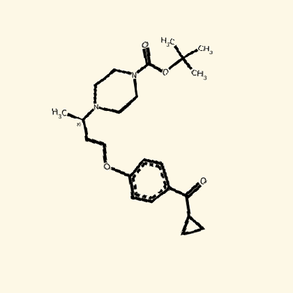 C[C@H](CCOc1ccc(C(=O)C2CC2)cc1)N1CCN(C(=O)OC(C)(C)C)CC1